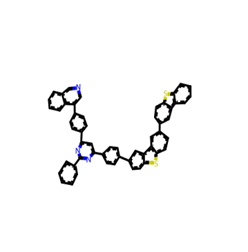 c1ccc(-c2nc(-c3ccc(-c4ccc5sc6ccc(-c7ccc8sc9ccccc9c8c7)cc6c5c4)cc3)cc(-c3ccc(-c4cncc5ccccc45)cc3)n2)cc1